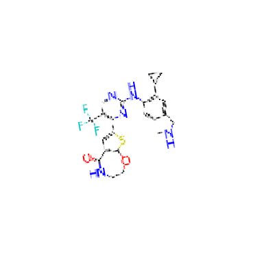 O=C1NCCOc2sc(-c3nc(Nc4cc5c(cc4C4CC4)CNC5)ncc3C(F)(F)F)cc21